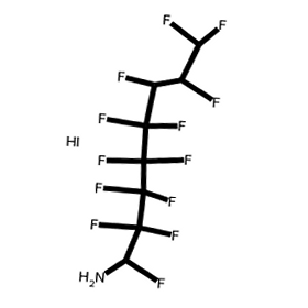 I.NC(F)C(F)(F)C(F)(F)C(F)(F)C(F)(F)C(F)C(F)C(F)F